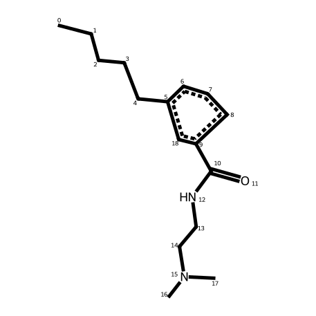 CCCCCc1cccc(C(=O)NCCN(C)C)c1